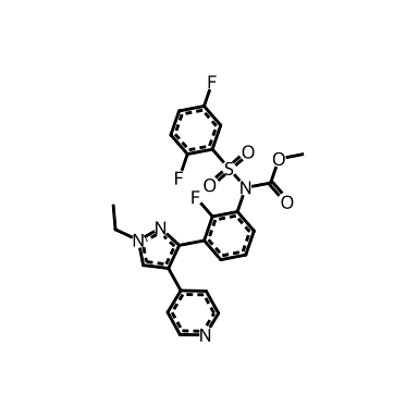 CCn1cc(-c2ccncc2)c(-c2cccc(N(C(=O)OC)S(=O)(=O)c3cc(F)ccc3F)c2F)n1